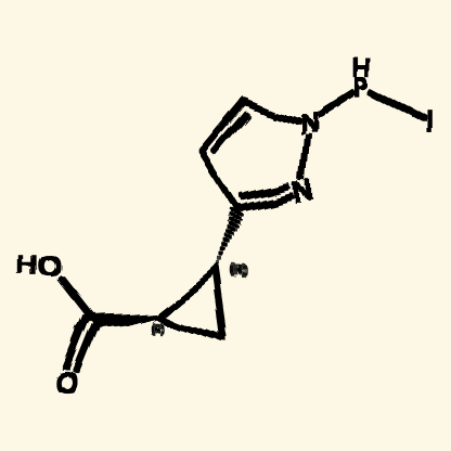 O=C(O)[C@@H]1C[C@H]1c1ccn(PI)n1